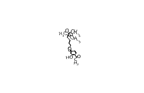 COC(=O)C(C)(C)CCCCOc1ccc(C(C)=O)c(O)c1